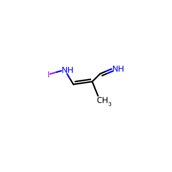 C/C(C=N)=C/NI